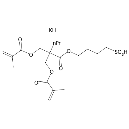 C=C(C)C(=O)OCC(CCC)(COC(=O)C(=C)C)C(=O)OCCCCS(=O)(=O)O.[KH]